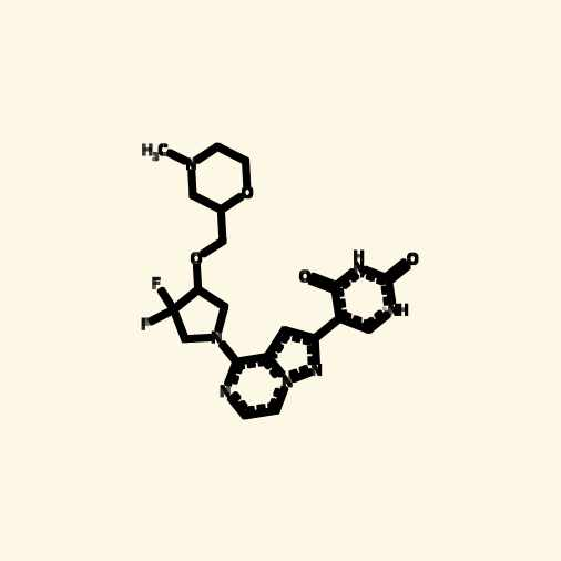 CN1CCOC(COC2CN(c3nccn4nc(-c5c[nH]c(=O)[nH]c5=O)cc34)CC2(F)F)C1